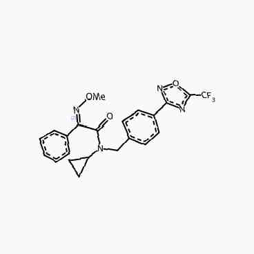 CO/N=C(\C(=O)N(Cc1ccc(-c2noc(C(F)(F)F)n2)cc1)C1CC1)c1ccccc1